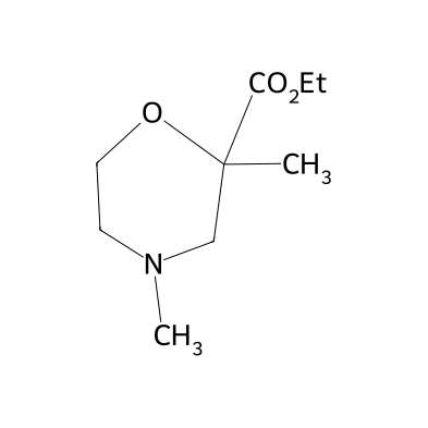 CCOC(=O)C1(C)CN(C)CCO1